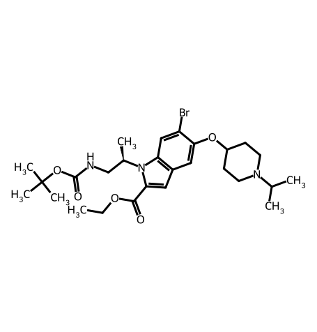 CCOC(=O)c1cc2cc(OC3CCN(C(C)C)CC3)c(Br)cc2n1[C@H](C)CNC(=O)OC(C)(C)C